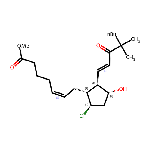 CCCCC(C)(C)C(=O)/C=C/[C@@H]1[C@@H](C/C=C\CCCC(=O)OC)[C@H](Cl)C[C@H]1O